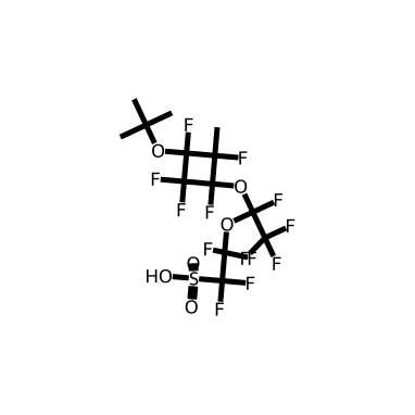 CC(C)(C)OC1(F)C(C)(F)C(F)(OC(F)(OC(F)(F)C(F)(F)S(=O)(=O)O)C(F)(F)F)C1(F)F